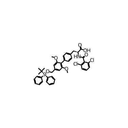 COc1cc(CO[Si](c2ccccc2)(c2ccccc2)C(C)(C)C)cc(OC)c1-c1ccc(C[C@H](NC(=O)c2c(Cl)cccc2Cl)C(=O)O)cc1